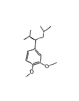 COc1ccc(C(CC(C)C)C(C)C)cc1OC